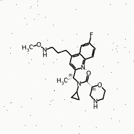 CONCCCc1cc([C@@H](C)N(C(=O)[C@H]2CNCCO2)C2CC2)nc2ccc(F)cc12